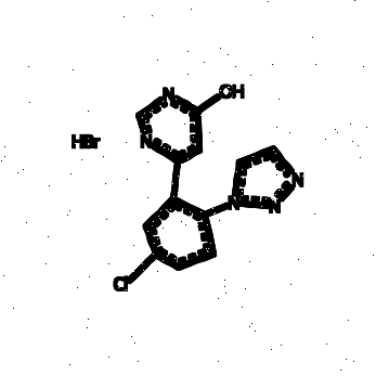 Br.Oc1cc(-c2cc(Cl)ccc2-n2ccnn2)ncn1